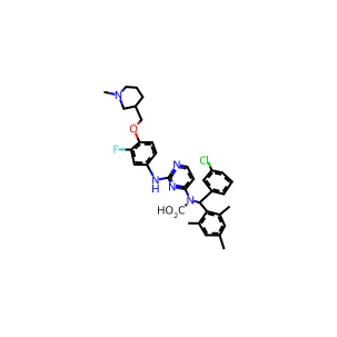 Cc1cc(C)c(C(c2cccc(Cl)c2)N(C(=O)O)c2ccnc(Nc3ccc(OCC4CCCN(C)C4)c(F)c3)n2)c(C)c1